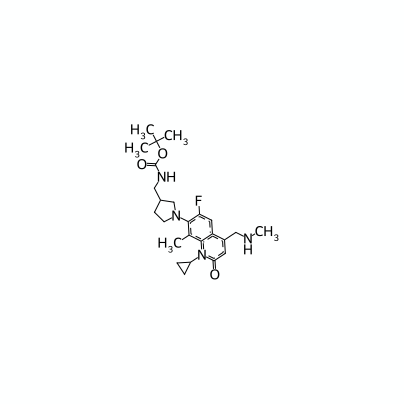 CNCc1cc(=O)n(C2CC2)c2c(C)c(N3CCC(CNC(=O)OC(C)(C)C)C3)c(F)cc12